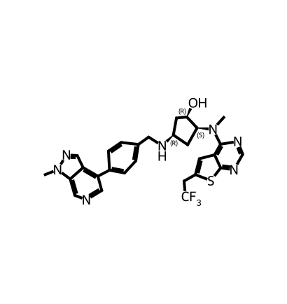 CN(c1ncnc2sc(CC(F)(F)F)cc12)[C@H]1C[C@@H](NCc2ccc(-c3cncc4c3cnn4C)cc2)C[C@H]1O